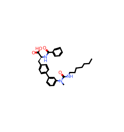 CCCCCCCNC(=O)N(C)c1cccc(-c2ccc(C[C@H](NC(=O)c3ccccc3)C(=O)O)cc2)c1